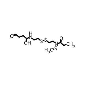 CCC(=O)N(CCSSCCNC(O)CCC=O)SC